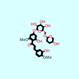 COc1ccc(C=CC(=O)c2c(O)cc(O[C@H]3O[C@@H](CO[C@@H]4CC[C@@H](O)CO4)[C@H](O)[C@@H](O)[C@@H]3O)cc2OC)cc1O